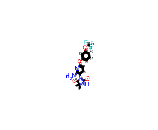 CC1(C)NC(=O)N(c2ccc(Oc3cccc(OC(F)(F)F)c3)nc2N)C1=O